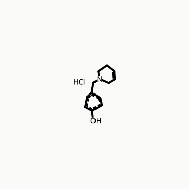 Cl.Oc1ccc(CN2CC=CCC2)cc1